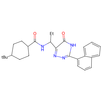 CCC(NC(=O)C1CCC(C(C)(C)C)CC1)c1nnc(-c2cccc3ccccc23)[nH]c1=O